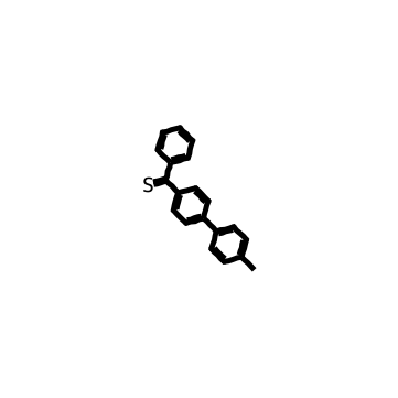 Cc1ccc(-c2ccc(C(=S)c3ccccc3)cc2)cc1